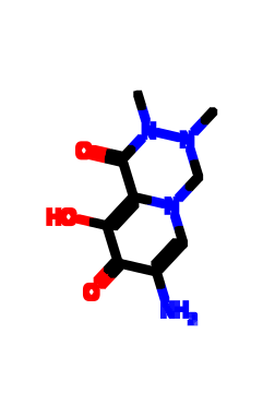 CN1Cn2cc(N)c(=O)c(O)c2C(=O)N1C